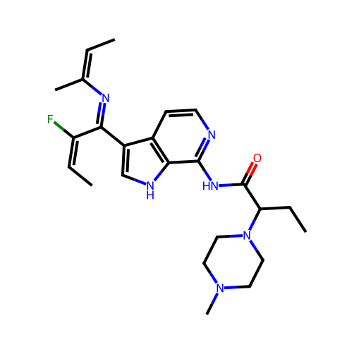 C\C=C(C)/N=C(\C(F)=C/C)c1c[nH]c2c(NC(=O)C(CC)N3CCN(C)CC3)nccc12